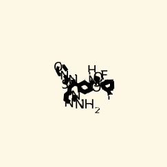 Nc1nccc(-c2sc(N3CCOCC3)nc2-c2cccc(NS(=O)(=O)c3cc(F)ccc3F)c2)n1